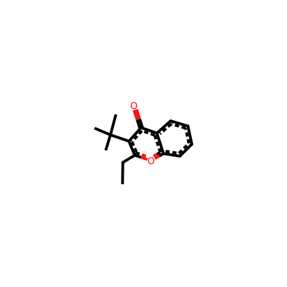 CCc1oc2ccccc2c(=O)c1C(C)(C)C